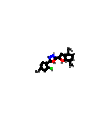 CC(=O)c1ccc(-c2nnc(-c3cc4c(C)ccc(C)c4o3)o2)c(Cl)c1